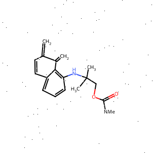 C=c1ccc2cccc(NC(C)(C)COC(=O)NC)c2c1=C